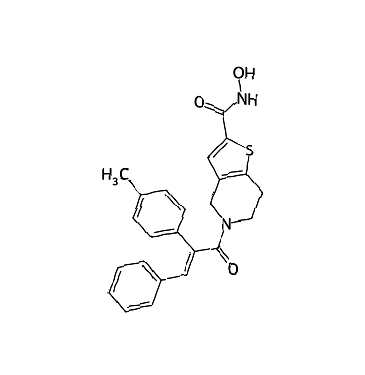 Cc1ccc(C(=Cc2ccccc2)C(=O)N2CCc3sc(C(=O)NO)cc3C2)cc1